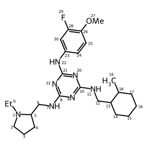 CCN1CCCC1CNc1nc(NCC2CCCCC2C)nc(Nc2ccc(OC)c(F)c2)n1